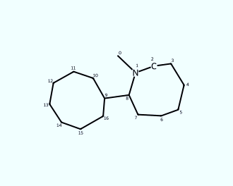 CN1CCCCCCC1C1CCCCCCC1